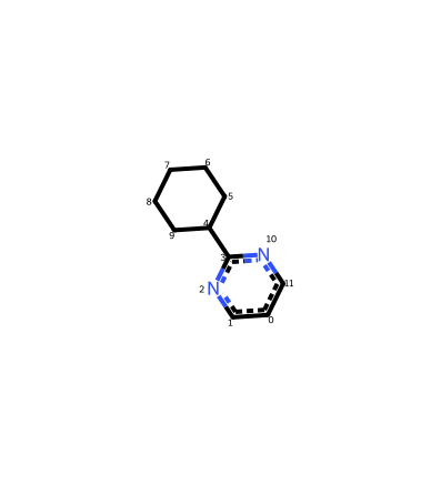 c1cnc(C2CCCCC2)nc1